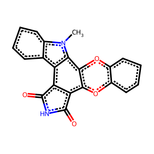 Cn1c2ccccc2c2c3c(=O)[nH]c(=O)c3c3oc4ccccc4oc3c21